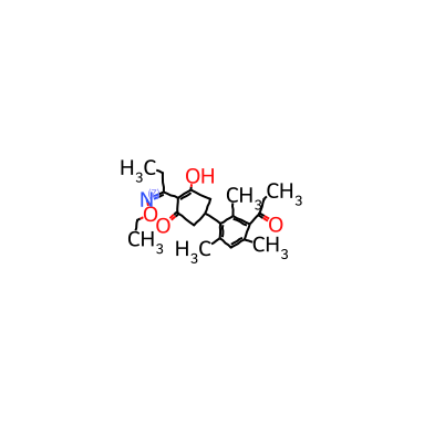 CCO/N=C(/CC)C1=C(O)CC(c2c(C)cc(C)c(C(=O)CC)c2C)CC1=O